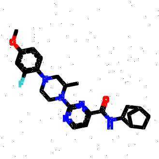 COc1ccc(N2CCN(c3nccc(C(=O)NC4CC5CCC4C5)n3)C(C)C2)c(F)c1